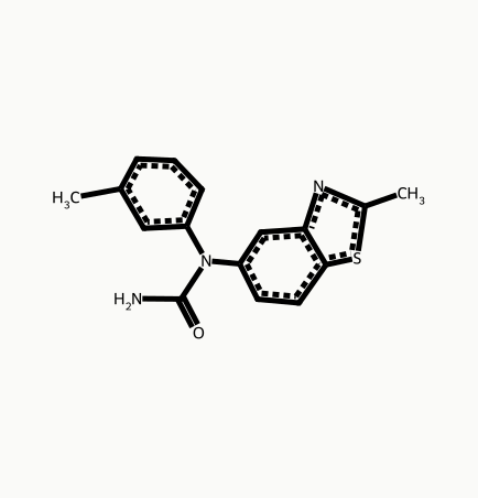 Cc1cccc(N(C(N)=O)c2ccc3sc(C)nc3c2)c1